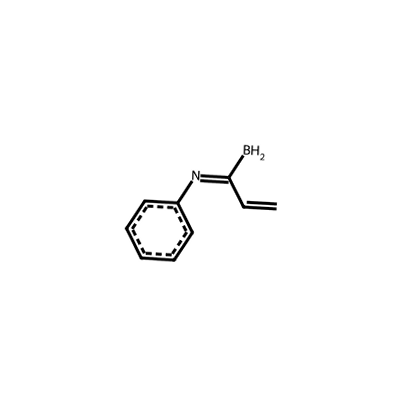 BC(C=C)=Nc1ccccc1